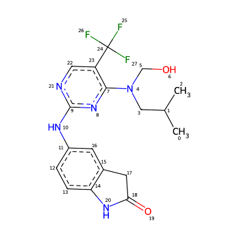 CC(C)CN(CO)c1nc(Nc2ccc3c(c2)CC(=O)N3)ncc1C(F)(F)F